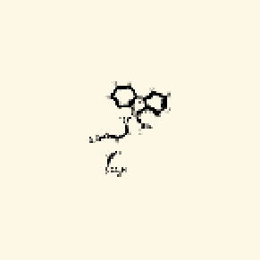 CC(=O)S[C@@H](CCC(=O)O)CO[Si](c1ccccc1)(c1ccccc1)C(C)(C)C